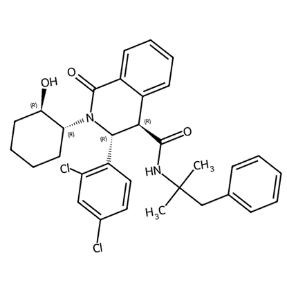 CC(C)(Cc1ccccc1)NC(=O)[C@@H]1c2ccccc2C(=O)N([C@@H]2CCCC[C@H]2O)[C@H]1c1ccc(Cl)cc1Cl